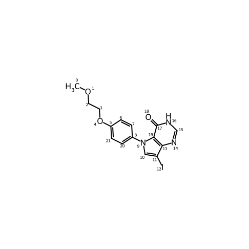 COCCOc1ccc(-n2cc(I)c3nc[nH]c(=O)c32)cc1